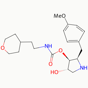 COc1ccc(C[C@H]2NC[C@H](O)[C@H]2OC(=O)NCCC2CCOCC2)cc1